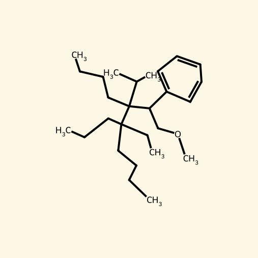 CCCCC(CC)(CCC)C(CCCC)([C](COC)c1ccccc1)C(C)C